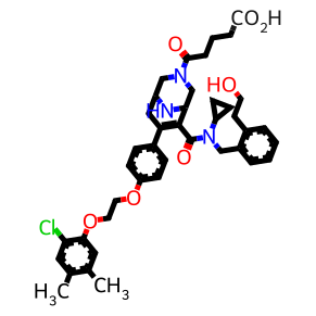 Cc1cc(Cl)c(OCCOc2ccc(C3=C(C(=O)N(Cc4ccccc4CCO)C4CC4)C4CN(C(=O)CCCC(=O)O)CC(C3)N4)cc2)cc1C